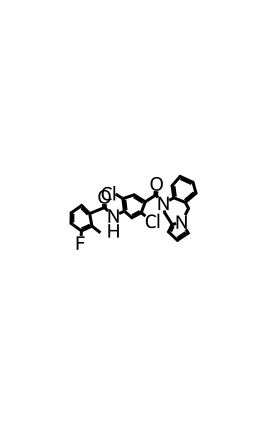 Cc1c(F)cccc1C(=O)Nc1cc(Cl)c(C(=O)N2Cc3cccn3Cc3ccccc32)cc1Cl